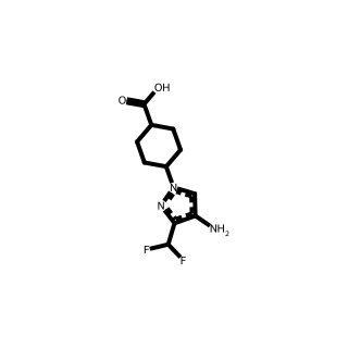 Nc1cn(C2CCC(C(=O)O)CC2)nc1C(F)F